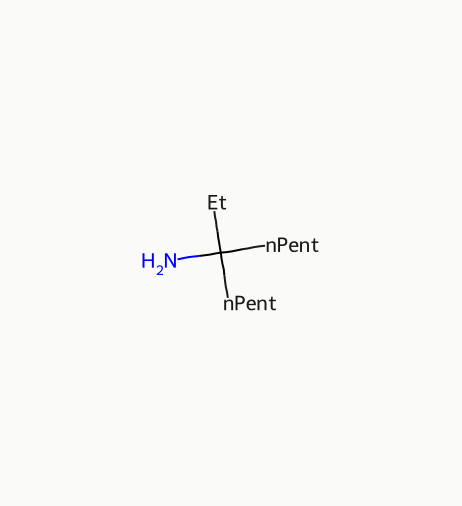 CCCCCC(N)(CC)CCCCC